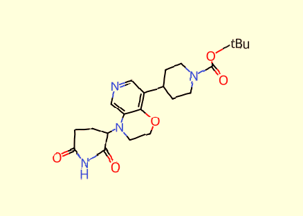 CC(C)(C)OC(=O)N1CCC(c2cncc3c2OCCN3C2CCC(=O)NC2=O)CC1